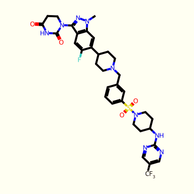 Cn1nc(N2CCC(=O)NC2=O)c2cc(F)c(C3CCN(Cc4cccc(S(=O)(=O)N5CCC(Nc6ncc(C(F)(F)F)cn6)CC5)c4)CC3)cc21